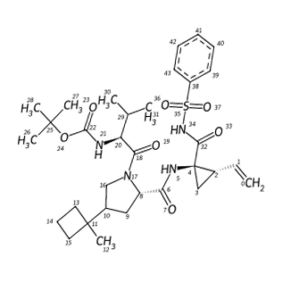 C=C[C@@H]1C[C@]1(NC(=O)[C@@H]1CC(C2(C)CCC2)CN1C(=O)[C@@H](NC(=O)OC(C)(C)C)C(C)C)C(=O)NS(=O)(=O)c1ccccc1